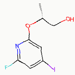 C[C@H](CO)Oc1cc(I)cc(F)n1